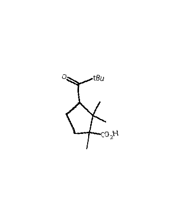 CC(C)(C)C(=O)C1CCC(C)(C(=O)O)C1(C)C